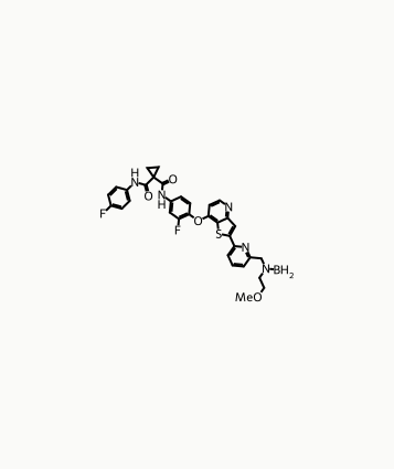 BN(CCOC)Cc1cccc(-c2cc3nccc(Oc4ccc(NC(=O)C5(C(=O)Nc6ccc(F)cc6)CC5)cc4F)c3s2)n1